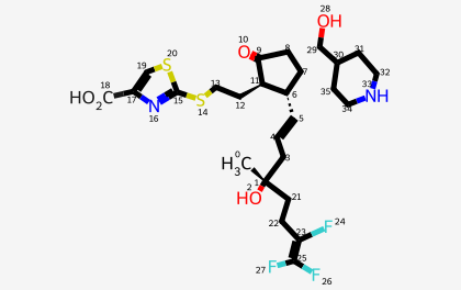 C[C@@](O)(C/C=C/[C@H]1CCC(=O)[C@@H]1CCSc1nc(C(=O)O)cs1)CCC(F)=C(F)F.OCC1CCNCC1